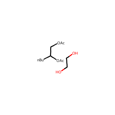 CCCCC(COC(C)=O)OC(C)=O.OCCO